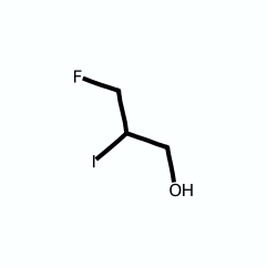 OCC(I)CF